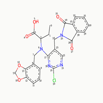 CCC(C(=O)O)N(Cc1cccc2c1OCO2)c1nc(Cl)ncc1CN1C(=O)c2ccccc2C1=O